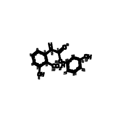 O=C(Nc1cccc(O)c1C(=O)O)Oc1cccc(O)c1